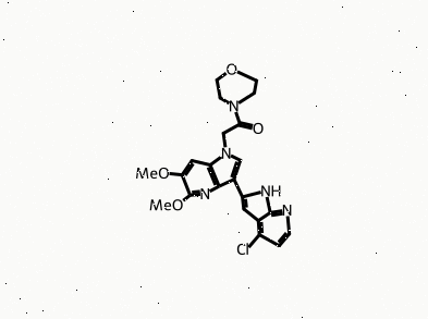 COc1cc2c(nc1OC)c(-c1cc3c(Cl)ccnc3[nH]1)cn2CC(=O)N1CCOCC1